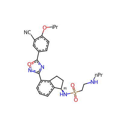 CCCNCCS(=O)(=O)N[C@@H]1CCc2c(-c3noc(-c4ccc(OC(C)C)c(C#N)c4)n3)cccc21